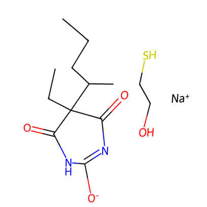 CCCC(C)C1(CC)C(=O)N=C([O-])NC1=O.OCCS.[Na+]